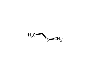 [CH2]CS[CH2]